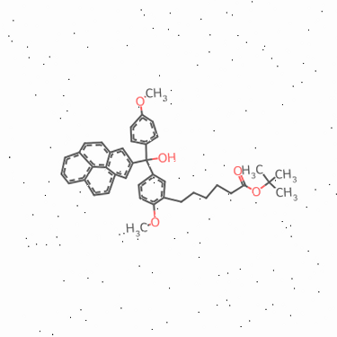 COc1ccc(C(O)(c2ccc(OC)c(CCCCCC(=O)OC(C)(C)C)c2)c2cc3ccc4cccc5ccc(c2)c3c45)cc1